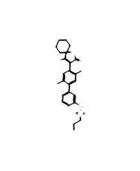 CCCS(=O)(=O)Nc1cccc(-c2cc(C)c(C3=C(O)C4(CCCCC4)OC3=O)cc2Cl)c1